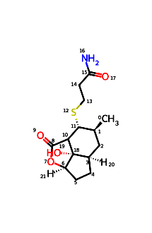 C[C@H]1C[C@H]2CC[C@H]3OC(=O)C([C@@H]1SCCC(N)=O)[C@@]23O